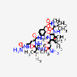 CC[C@H](C)[C@@H]([C@@H](CC(N)=O)OC)N(C)C(=O)[C@@H](NC(=O)[C@H](C(C)C)N(C)C(=O)OCc1ccc(NC(=O)[C@H](CCCNC(N)=O)NC(=O)[C@@H](NC)C(C)C)cc1)C(C)C